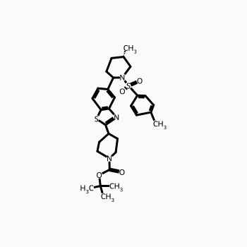 Cc1ccc(S(=O)(=O)N2C[C@@H](C)CCC2c2ccc3sc(C4CCN(C(=O)OC(C)(C)C)CC4)nc3c2)cc1